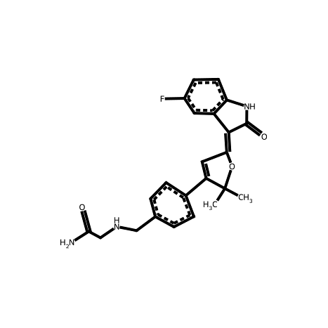 CC1(C)OC(=C2C(=O)Nc3ccc(F)cc32)C=C1c1ccc(CNCC(N)=O)cc1